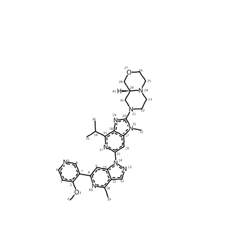 COc1ccncc1-c1cc2c(cnn2-c2cc3c(nc(N4CCN5CCOC[C@H]5C4)n3C)c(C(C)C)n2)c(C)n1